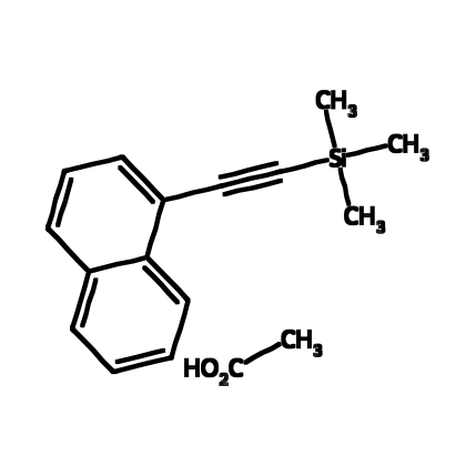 CC(=O)O.C[Si](C)(C)C#Cc1cccc2ccccc12